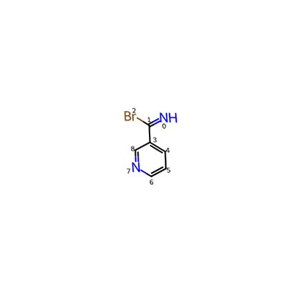 N=C(Br)c1cccnc1